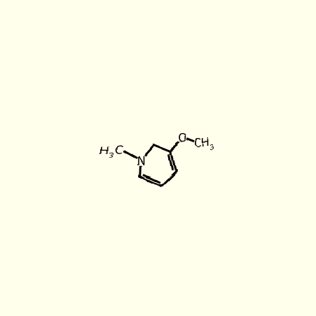 COC1=CC=CN(C)C1